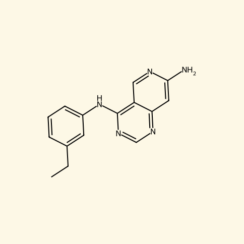 CCc1cccc(Nc2ncnc3cc(N)ncc23)c1